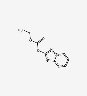 CCOC(=O)Oc1nc2ccccn2n1